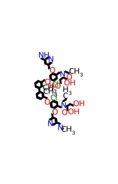 CCCN(Cc1cc(Cl)c(OCc2cccc(-c3cccc(COc4cc(OCc5cncc(/C=N/C)c5)c(CN(CCC)C(CCO)C(=O)O)cc4Cl)c3C)c2C)cc1OCc1cncc(C=N)c1)C(CCO)C(=O)O